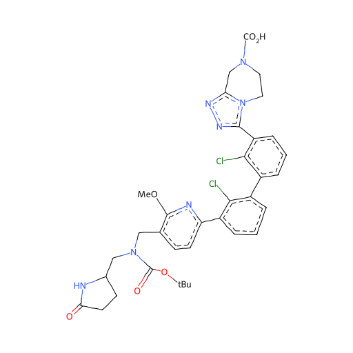 COc1nc(-c2cccc(-c3cccc(-c4nnc5n4CCN(C(=O)O)C5)c3Cl)c2Cl)ccc1CN(CC1CCC(=O)N1)C(=O)OC(C)(C)C